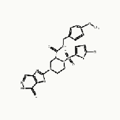 O=C(NCc1ccc(OC(F)(F)F)cc1)[C@H]1CN(c2nc3cn[nH]c(=O)c3s2)CCN1S(=O)(=O)c1ccc(Cl)s1